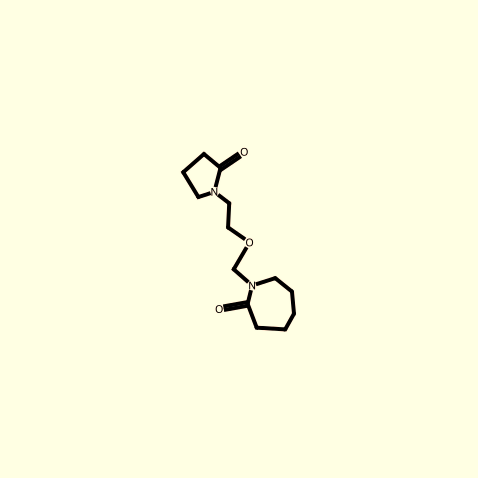 O=C1CCCN1CCOCN1CCCCCC1=O